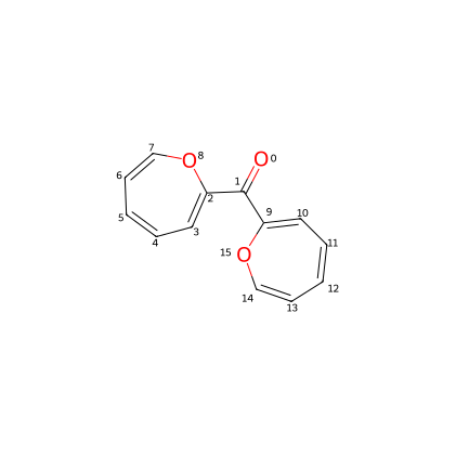 O=C(C1=CC=CC=CO1)C1=CC=CC=CO1